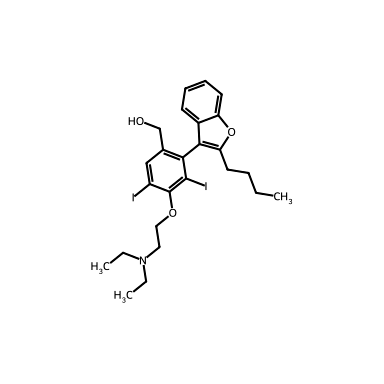 CCCCc1oc2ccccc2c1-c1c(CO)cc(I)c(OCCN(CC)CC)c1I